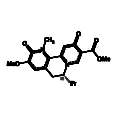 COC(=O)c1cn2c(cc1=O)-c1c(cc(OC)c(=O)n1C)C[C@H]2C(C)C